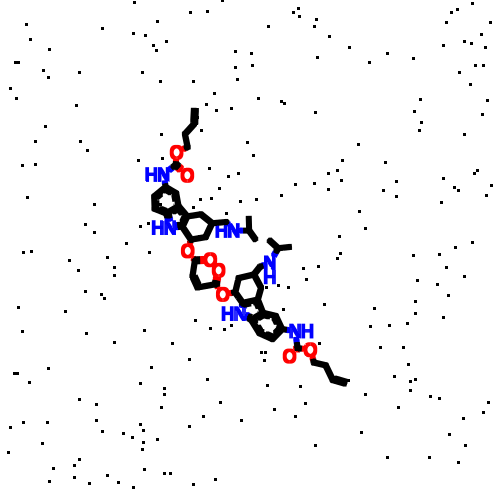 C=CCCOC(=O)Nc1ccc2[nH]c3c(c2c1)CC(CNC(C)C)CC3OC(=O)/C=C\C(=O)OC1CC(CNC(C)C)Cc2c1[nH]c1ccc(NC(=O)OCCC=C)cc21